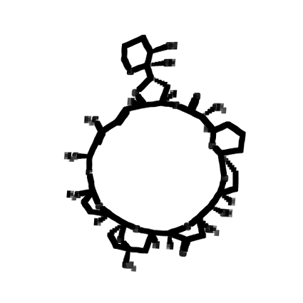 CC1=C/[C@H](C)C[C@@]2(C)CC[C@@H](O2)[C@@]23CC[C@@](C)(C[C@H](O2)[C@H]2O[C@](C)(CC2=O)[C@@H](O)[C@@H]2CC[C@]4(CCC[C@H](O4)[C@@H](C)C(=O)O[C@@H]4C[C@@H]([C@@]5(O)OCCC[C@H]5O)O[C@@H]4\C=C\1)O2)O3